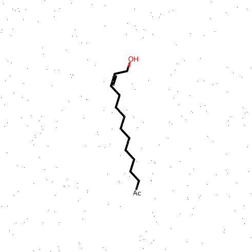 CC(=O)CCCCCCCCC/C=C\CO